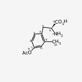 CC(=O)Oc1ccc(C[C@H](N)C(=O)O)c(C)c1